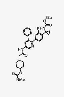 CNC(=O)O[C@H]1CC[C@H](CC(=O)Nc2cnc(-c3ccc(C4(NC(=O)OC(C)(C)C)CC4)c(F)c3)c(-c3ccccc3)c2)CC1